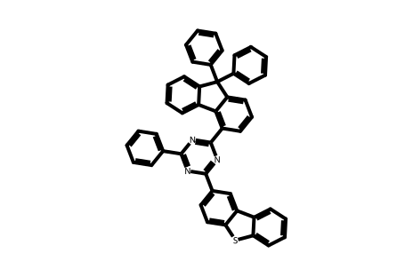 c1ccc(-c2nc(-c3ccc4sc5ccccc5c4c3)nc(-c3cccc4c3-c3ccccc3C4(c3ccccc3)c3ccccc3)n2)cc1